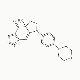 CC12CCN(c3ccc(N4CCOCC4)cc3)C1=Nc1sccc1C2=O